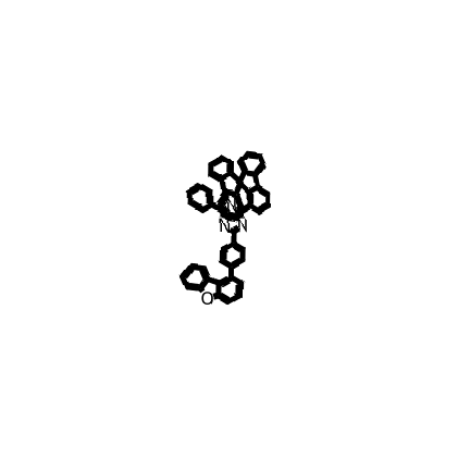 c1ccc(-c2nc(-c3ccc(-c4cccc5oc6ccccc6c45)cc3)nc(-c3cccc4c3C3(c5ccccc5-c5ccccc53)c3ccccc3-4)n2)cc1